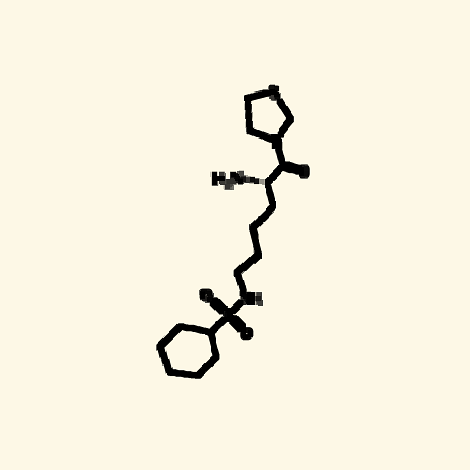 N[C@@H](CCCCNS(=O)(=O)C1CCCCC1)C(=O)N1CCSC1